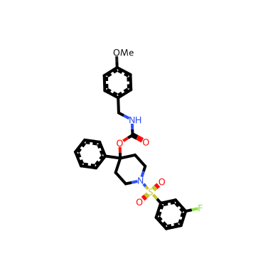 COc1ccc(CNC(=O)OC2(c3ccccc3)CCN(S(=O)(=O)c3cccc(F)c3)CC2)cc1